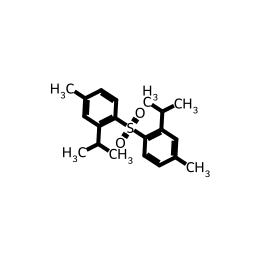 Cc1ccc(S(=O)(=O)c2ccc(C)cc2C(C)C)c(C(C)C)c1